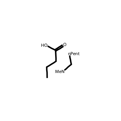 CCCC(=O)O.CCCCCCNC